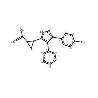 O=C(O)C1CC1c1[nH]nc(-c2ccc(F)cc2)c1-c1ccncc1